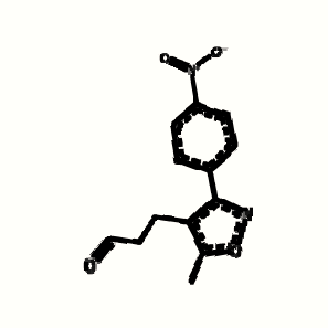 Cc1onc(-c2ccc([N+](=O)[O-])cc2)c1CCC=O